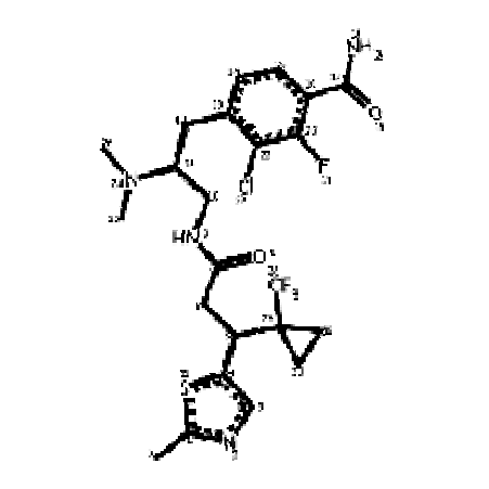 Cc1ncc(C(CC(=O)NCC(Cc2ccc(C(N)=O)c(F)c2Cl)N(C)C)C2(C(F)(F)F)CC2)s1